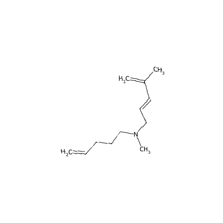 C=CCCCN(C)C/C=C/C(=C)C